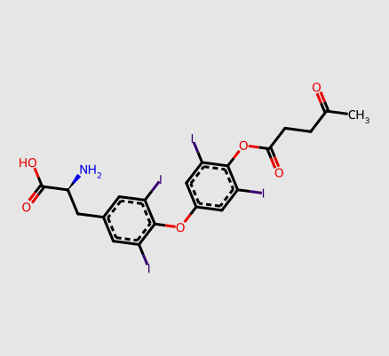 CC(=O)CCC(=O)Oc1c(I)cc(Oc2c(I)cc(C[C@H](N)C(=O)O)cc2I)cc1I